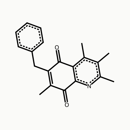 CC1=C(Cc2ccccc2)C(=O)c2c(nc(C)c(C)c2C)C1=O